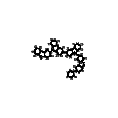 c1ccc(-c2ccc3sc4ccc(-n5c6ccccc6c6cc(-c7ccc8c(c7)c7ccccc7n8-c7ccc8sc9ccccc9c8c7)ccc65)cc4c3c2)cc1